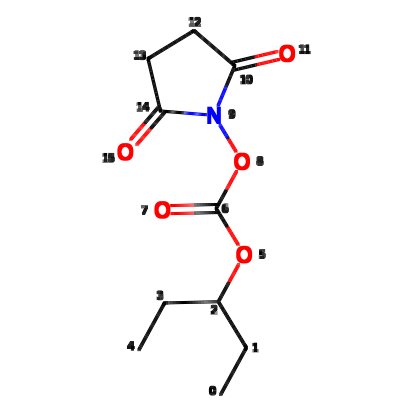 CCC(CC)OC(=O)ON1C(=O)CCC1=O